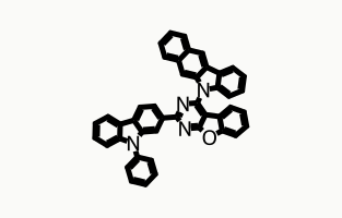 c1ccc(-n2c3ccccc3c3ccc(-c4nc(-n5c6ccccc6c6cc7ccccc7cc65)c5c(n4)oc4ccccc45)cc32)cc1